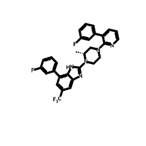 C[C@@H]1CN(c2ncccc2-c2cccc(F)c2)CCN1c1nc2cc(C(F)(F)F)cc(-c3cccc(F)c3)c2[nH]1